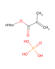 C=C(C)C(=O)OCCCCCC.O=P(O)(O)O